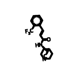 O=C(C=Cc1ccccc1C(F)(F)F)NC1CN2CCC1CC2